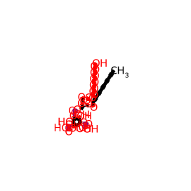 CC#CC#CC#CC#CC#CC(=O)OC[C@H](COP(=O)(O)OC1C(O)[C@H](OP(=O)(O)O)[C@H](O)C(OP(=O)(O)O)[C@@H]1O)OC(=O)OOOOOOOOOOOOOO